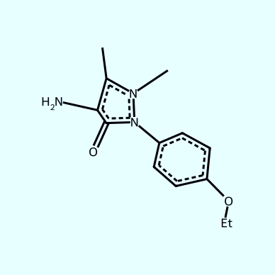 CCOc1ccc(-n2c(=O)c(N)c(C)n2C)cc1